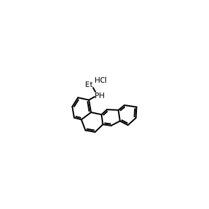 CCPc1cccc2ccc3cc4ccccc4cc3c12.Cl